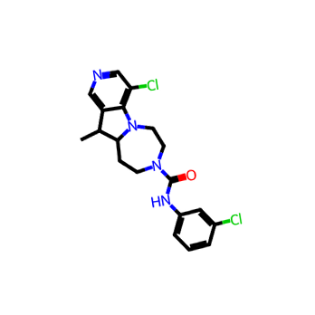 CC1c2cncc(Cl)c2N2CCN(C(=O)Nc3cccc(Cl)c3)CCC12